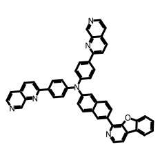 c1ccc2c(c1)oc1c(-c3ccc4cc(N(c5ccc(-c6ccc7ccncc7n6)cc5)c5ccc(-c6ccc7ccncc7n6)cc5)ccc4c3)nccc12